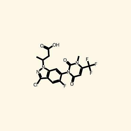 CC(CC(=O)O)n1nc(Cl)c2cc(F)c(-n3c(=O)cc(C(F)(F)F)n(C)c3=O)cc21